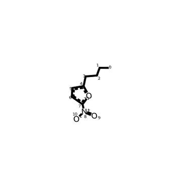 CCCCc1ccc([N+](=O)[O-])o1